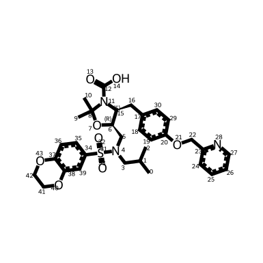 CC(C)CN(C[C@H]1OC(C)(C)N(C(=O)O)[C@H]1Cc1ccc(OCc2ccccn2)cc1)S(=O)(=O)c1ccc2c(c1)OCCO2